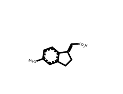 COc1ccc2c(c1)CCC2=CC(=O)O